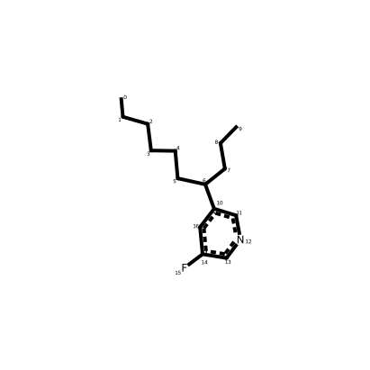 CCCCCCC(CCC)c1cncc(F)c1